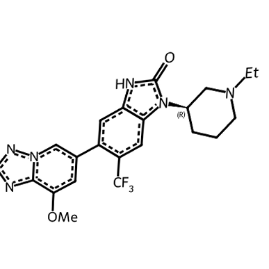 CCN1CCC[C@@H](n2c(=O)[nH]c3cc(-c4cc(OC)c5ncnn5c4)c(C(F)(F)F)cc32)C1